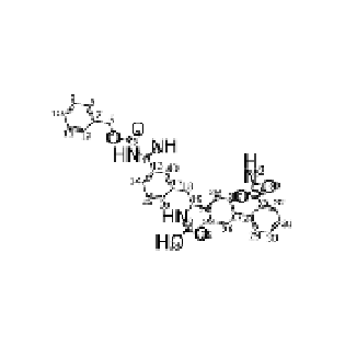 N=C(NC(=O)OCc1ccccc1)c1cccc(CC(NC(=O)O)c2ccc(-c3ccccc3S(N)(=O)=O)cc2)c1